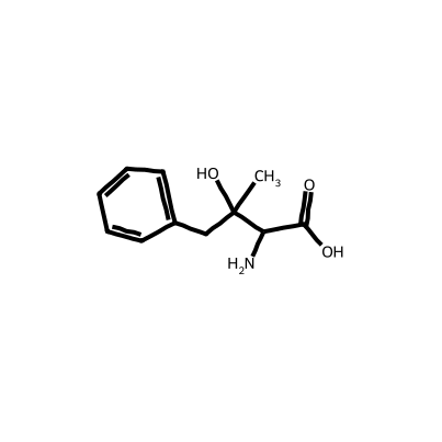 CC(O)(Cc1ccccc1)C(N)C(=O)O